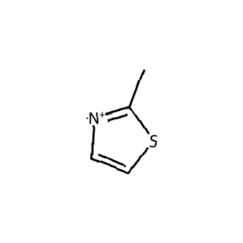 CC1=[N+]C=CS1